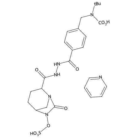 CC(C)(C)N(Cc1ccc(C(=O)NNC(=O)C2CCC3CN2C(=O)N3OS(=O)(=O)O)cc1)C(=O)O.c1ccncc1